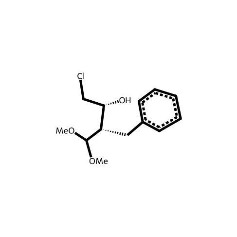 COC(OC)[C@@H](Cc1ccccc1)[C@@H](O)CCl